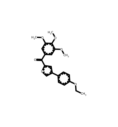 CCOc1ccc(-c2csc(C(=O)c3cc(OC)c(OC)c(OC)c3)c2)cc1